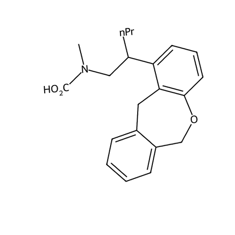 CCCC(CN(C)C(=O)O)c1cccc2c1Cc1ccccc1CO2